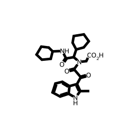 Cc1[nH]c2ccccc2c1C(=O)C(=O)N(CC(=O)O)C(C(=O)NC1CCCCC1)C1CCCCC1